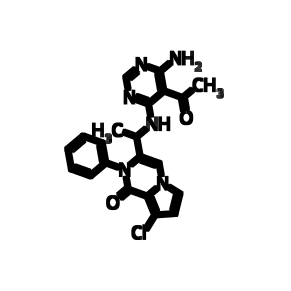 CC(=O)c1c(N)ncnc1NC(C)c1cn2ccc(Cl)c2c(=O)n1-c1ccccc1